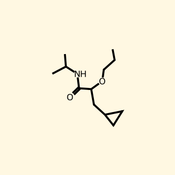 CCCOC(CC1CC1)C(=O)NC(C)C